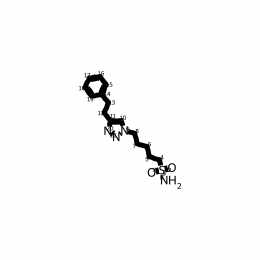 NS(=O)(=O)CCCCCn1cc(CCc2ccccc2)nn1